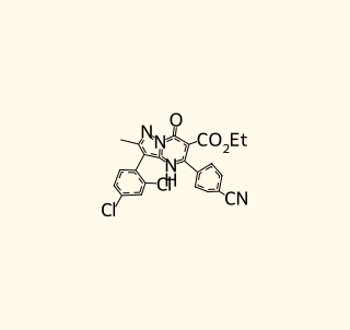 CCOC(=O)c1c(-c2ccc(C#N)cc2)[nH]c2c(-c3ccc(Cl)cc3Cl)c(C)nn2c1=O